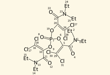 CCN(CC)C(=O)C(OP(=O)(OC(C(=O)N(CC)CC)=C(Cl)Cl)OC(C(=O)N(CC)CC)=C(Cl)Cl)=C(Cl)Cl